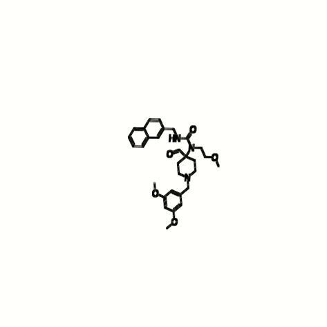 COCCN(C(=O)NCc1ccc2ccccc2c1)C1(C=O)CCN(Cc2cc(OC)cc(OC)c2)CC1